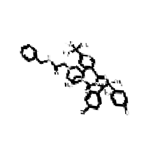 CCOc1cc(C(C)(C)C)ncc1C1=N[C@@](C)(c2ccc(Cl)cc2)[C@@](C)(c2ccc(Cl)cc2)N1C(=O)N1CCN(CC(=O)NCc2cccnc2)CC1